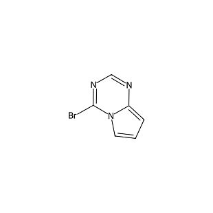 Brc1ncnc2cccn12